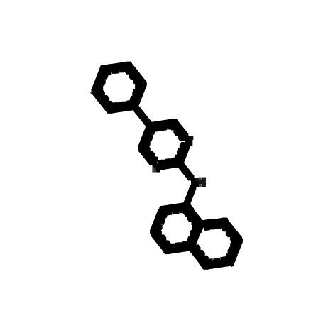 c1ccc(-c2cnc(Nc3cccc4ccccc34)nc2)cc1